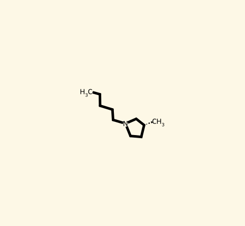 CCCCCN1CC[C@@H](C)C1